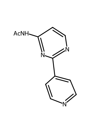 CC(=O)Nc1ccnc(-c2ccncc2)n1